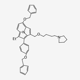 CCc1c(-c2ccc(OCc3ccccc3)cc2)c2c(COCCCCN3CCCC3)cc3c(OCc4ccccc4)ccc1n32